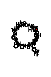 CCC(C)[C@@H]1NC(=O)[C@H](CC(C)C)N(C)C(=O)C[C@@H](C)NC(=O)[C@H](CC(C)C)N(C)C(=O)C2(CCCC2)NC(=O)[C@@H]2CCCN2C(=O)[C@H](CCc2ccc(C(F)(F)F)cc2)NC(=O)CN(C)C(=O)[C@H](CC2CCCCC2)N(C)C(=O)CN(C)C(=O)CN(C)C1=O